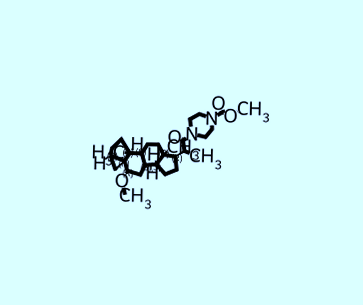 COC(=O)N1CCN(C(=O)C(C)[C@H]2CC[C@H]3[C@@H]4C[C@@H](OC)[C@]56C[C@H]5CC[C@]6(C)[C@H]4CC[C@]23C)CC1